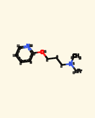 CCCN(C)CCCOc1ccccn1